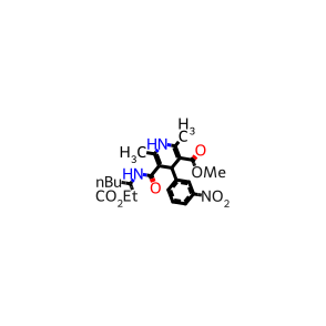 CCCCC(NC(=O)C1=C(C)NC(C)=C(C(=O)OC)C1c1cccc([N+](=O)[O-])c1)C(=O)OCC